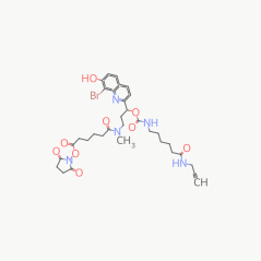 C#CCNC(=O)CCCCCNC(=O)OC(CCN(C)C(=O)CCCCC(=O)ON1C(=O)CCC1=O)c1ccc2ccc(O)c(Br)c2n1